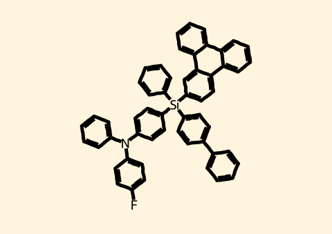 Fc1ccc(N(c2ccccc2)c2ccc([Si](c3ccccc3)(c3ccc(-c4ccccc4)cc3)c3ccc4c5ccccc5c5ccccc5c4c3)cc2)cc1